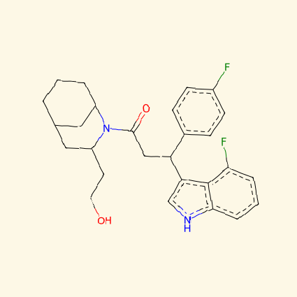 O=C(CC(c1ccc(F)cc1)c1c[nH]c2cccc(F)c12)N1C(CCO)CC2CCCC1C2